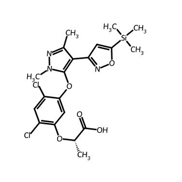 Cc1nn(C)c(Oc2cc(O[C@@H](C)C(=O)O)c(Cl)cc2Cl)c1-c1cc([Si](C)(C)C)on1